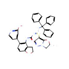 COc1cc(-c2ccc3c(c2NC(=O)N=S(=O)(NC(c2ccccc2)(c2ccccc2)c2ccccc2)c2cnn4c2O[C@H](C)C4)CCO3)ccn1